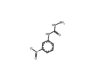 BNC(=O)Nc1cccc([N+](=O)[O-])c1